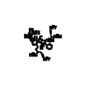 CCCC#CCC(CCCC)CCc1ccccc1C1=C(C)C(CCCC)=C(c2ccccc2CCC(CC#CCCC)CCCC)[N+]1=[N-].CC[N](CC)[Ni][N](CC)CC